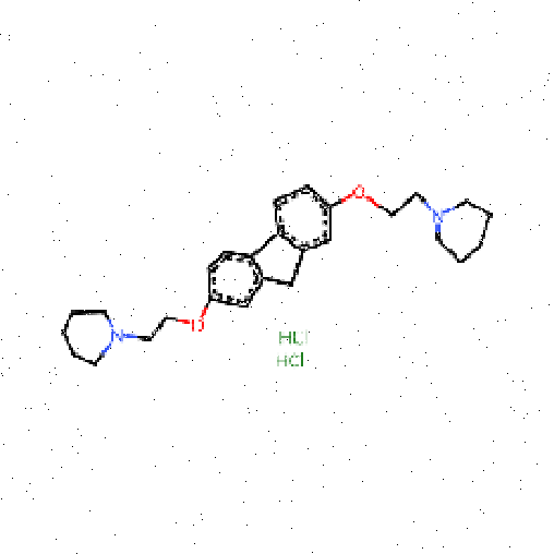 Cl.Cl.c1cc2c(cc1OCCN1CCCCC1)Cc1cc(OCCN3CCCCC3)ccc1-2